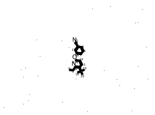 CCc1nc(Oc2cccc(C#N)c2)ccc1C(C)(C)C